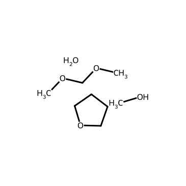 C1CCOC1.CO.COCOC.O